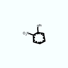 [CH2]CCc1ccccc1[N+](=O)[O-]